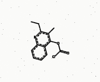 CCc1nc2ccccc2c(OC(=O)Cl)c1C